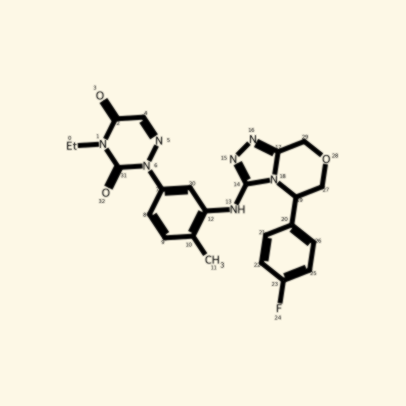 CCn1c(=O)cnn(-c2ccc(C)c(Nc3nnc4n3C(c3ccc(F)cc3)COC4)c2)c1=O